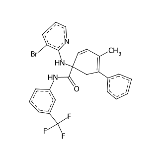 CC1=C(c2ccccc2)CC(Nc2ncccc2Br)(C(=O)Nc2cccc(C(F)(F)F)c2)C=C1